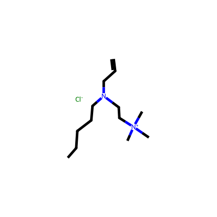 C=CCN(CCCCC)CC[N+](C)(C)C.[Cl-]